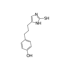 Oc1ccc(CCCc2cnc(S)[nH]2)cc1